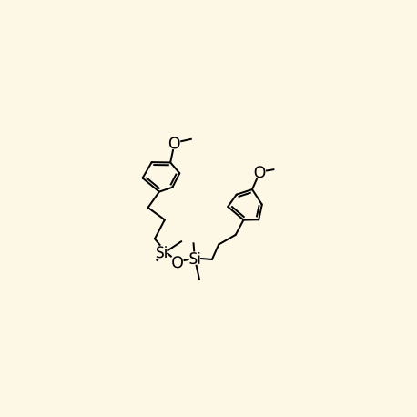 COc1ccc(CCC[Si](C)(C)O[Si](C)(C)CCCc2ccc(OC)cc2)cc1